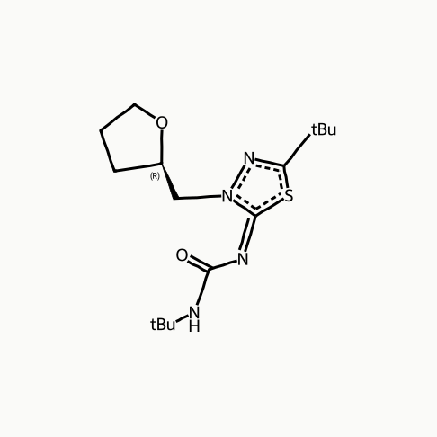 CC(C)(C)NC(=O)N=c1sc(C(C)(C)C)nn1C[C@H]1CCCO1